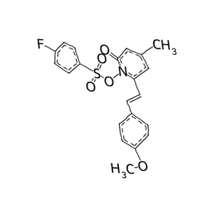 COc1ccc(C=Cc2cc(C)cc(=O)n2OS(=O)(=O)c2ccc(F)cc2)cc1